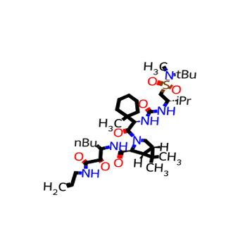 C=CCNC(=O)C(=O)C(CCCC)NC(=O)[C@@H]1[C@@H]2[C@H](CN1C(=O)[C@@H](NC(=O)N[C@H](CS(=O)(=O)N(C)C(C)(C)C)C(C)C)C1(C)CCCCC1)C2(C)C